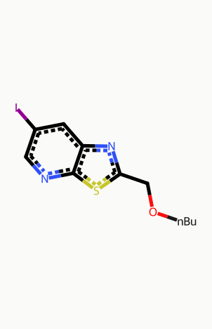 CCCCOCc1nc2cc(I)cnc2s1